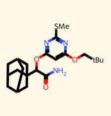 CSc1nc(OCC(C)(C)C)cc(OC(C(N)=O)C23CC4CC(CC(C4)C2)C3)n1